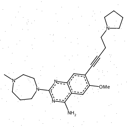 COc1cc2c(N)nc(N3CCCN(C)CC3)nc2cc1C#CCCN1CCCC1